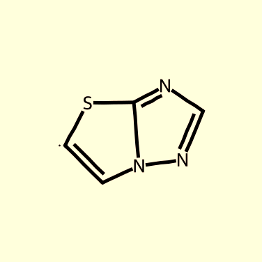 [c]1cn2ncnc2s1